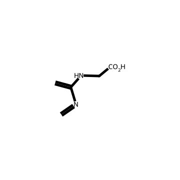 C=NC(=C)NCC(=O)O